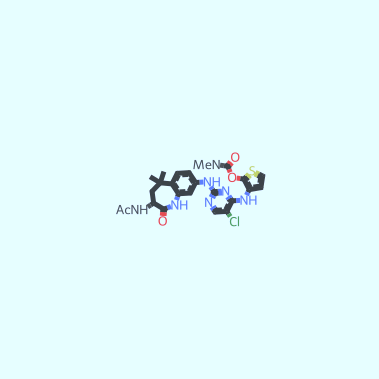 CNC(=O)Oc1sccc1Nc1nc(Nc2ccc3c(c2)NC(=O)C(NC(C)=O)CC3(C)C)ncc1Cl